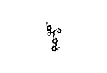 O=C(/C(=C/N1CCCC1)CCN1CCC(=Cc2ccccc2F)CC1)c1ccc(F)cc1